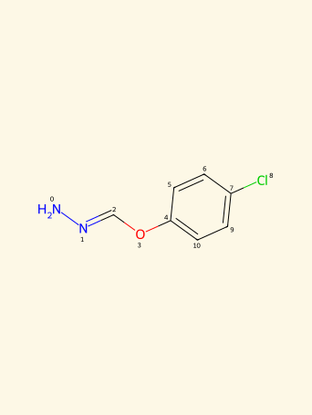 NN=COc1ccc(Cl)cc1